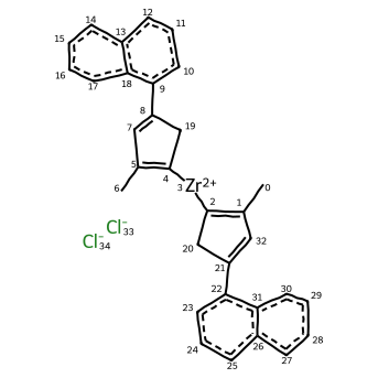 CC1=[C]([Zr+2][C]2=C(C)C=C(c3cccc4ccccc34)C2)CC(c2cccc3ccccc23)=C1.[Cl-].[Cl-]